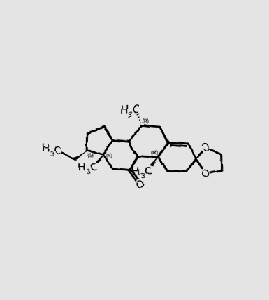 CC[C@H]1CCC2C3C(C(=O)C[C@@]21C)[C@@]1(C)CCC2(C=C1C[C@H]3C)OCCO2